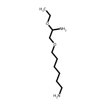 CCOC(N)COCCCCCCN